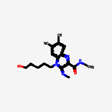 C/N=c1\c(C(=O)NC=O)nc2cc(C#N)c(C#N)cc2n1CCCCCO